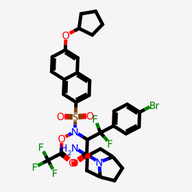 NC1CC2CCC(C1)N2C(=O)C(N(OC(=O)C(F)(F)F)S(=O)(=O)c1ccc2cc(OC3CCCC3)ccc2c1)C(F)(F)c1ccc(Br)cc1